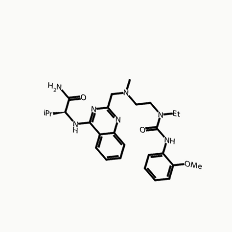 CCN(CCN(C)Cc1nc(N[C@H](C(N)=O)C(C)C)c2ccccc2n1)C(=O)Nc1ccccc1OC